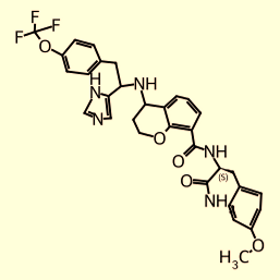 COc1ccc(C[C@H](NC(=O)c2cccc3c2OCCC3NC(Cc2ccc(OC(F)(F)F)cc2)c2cnc[nH]2)C(N)=O)cc1